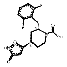 O=C(O)N1CC[C@@H](c2cc(=O)[nH]o2)C[C@@H]1Cc1c(F)cccc1F